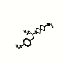 CC(Cc1ccc(N)cc1)N1CC2(CC(N)C2)C1